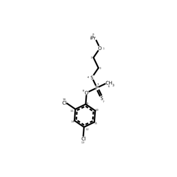 CC(C)OCCSP(C)(=S)Oc1ccc(Cl)cc1Cl